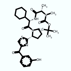 C[C@@H](C(=O)N[C@H](C(=O)N1CCC[C@@H]1c1nc(C(=O)c2cccc(O)c2)cs1)C1CCCCC1)N(C)C(=O)OC(C)(C)C